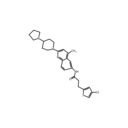 Cc1cc(N2CCC(N3CCCC3)CC2)nc2ccc(NC(=O)CCc3cc(Cl)cs3)cc12